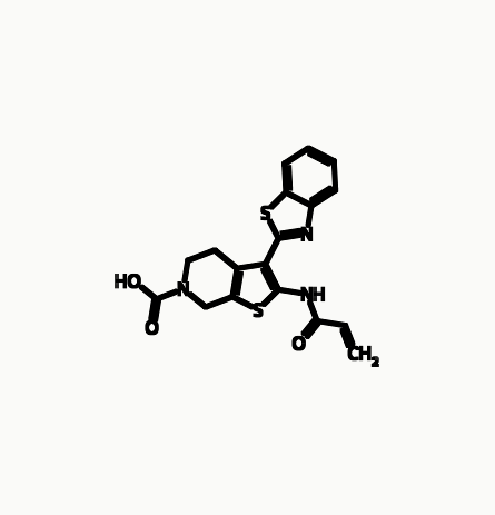 C=CC(=O)Nc1sc2c(c1-c1nc3ccccc3s1)CCN(C(=O)O)C2